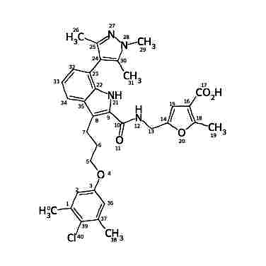 Cc1cc(OCCCc2c(C(=O)NCc3cc(C(=O)O)c(C)o3)[nH]c3c(-c4c(C)nn(C)c4C)cccc23)cc(C)c1Cl